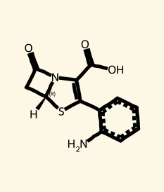 Nc1ccccc1C1=C(C(=O)O)N2C(=O)C[C@H]2S1